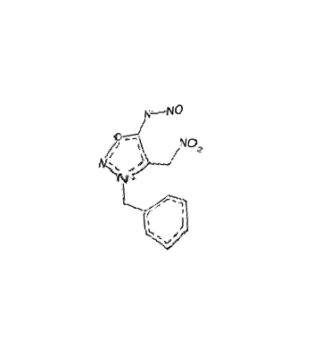 O=N[N-]c1on[n+](Cc2ccccc2)c1C[N+](=O)[O-]